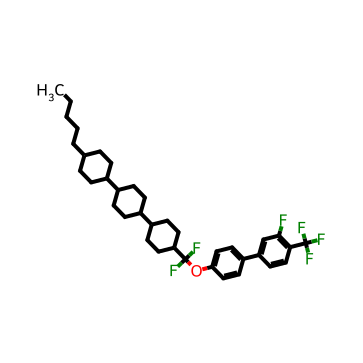 CCCCCC1CCC(C2CCC(C3CCC(C(F)(F)Oc4ccc(-c5ccc(C(F)(F)F)c(F)c5)cc4)CC3)CC2)CC1